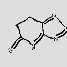 O=C1CCC2=NN=NC2=N1